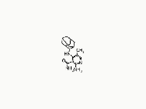 Cc1cnc(N)c(C(N)=O)c1NC1C2CC3CC(C2)CC1C3